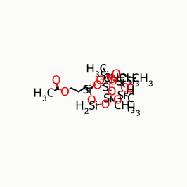 CC(=O)OCCC[Si]12O[SiH2]O[Si]3(C)O[Si]4(C)O[SiH](C)CO[Si](C)(O[Si](C)(O4)O[Si](C)(O3)O1)O2